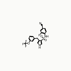 N#Cc1ccc(NS(=O)(=O)c2c[nH]cc2Cc2cccc(OC(F)(F)F)c2)c(F)c1